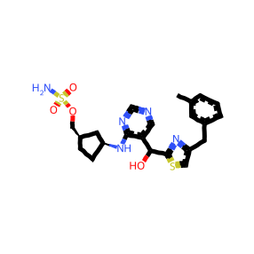 Cc1cccc(Cc2csc(C(O)c3cncnc3N[C@H]3CC[C@@H](COS(N)(=O)=O)C3)n2)c1